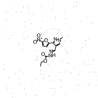 CCOC(=O)NN=Cc1cn(C)nc1-c1ccc([N+](=O)[O-])o1